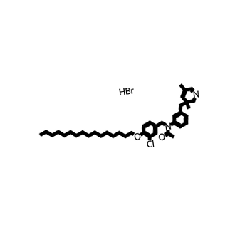 Br.CCCCCCCCCCCCCCCCOc1ccc(CN(C(C)=O)c2cccc(CC3(C)C=C(C)C=NC3)c2)cc1Cl